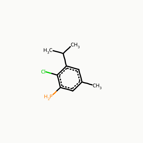 Cc1cc(P)c(Cl)c(C(C)C)c1